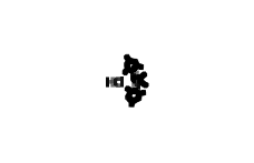 CC1=C(C)N(c2c(C)cc(C)cc2C)CN1c1c(C)cc(C)cc1C.Cl